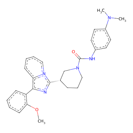 COc1ccccc1-c1nc([C@H]2CCCN(C(=O)Nc3ccc(N(C)C)cc3)C2)n2ccccc12